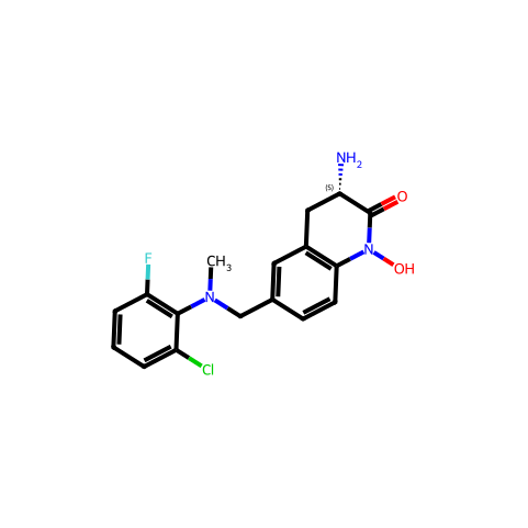 CN(Cc1ccc2c(c1)C[C@H](N)C(=O)N2O)c1c(F)cccc1Cl